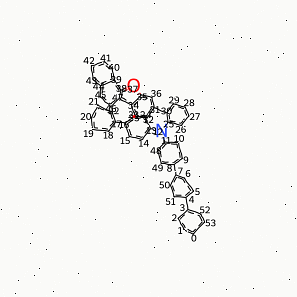 c1ccc(-c2ccc(-c3ccc(N(c4ccc(-c5ccccc5)cc4)c4ccccc4-c4ccc5c(c4)oc4c6ccccc6ccc54)cc3)cc2)cc1